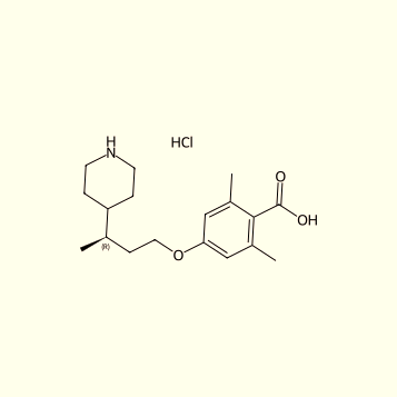 Cc1cc(OCC[C@@H](C)C2CCNCC2)cc(C)c1C(=O)O.Cl